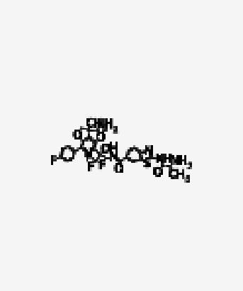 C[C@H](N)C(=O)Nc1nc2ccc(C(=O)NC[C@](O)(c3cc4c(c(-c5ccc(F)cc5)n3)OC[C@]4(C)C(N)=O)C(F)(F)F)cc2s1